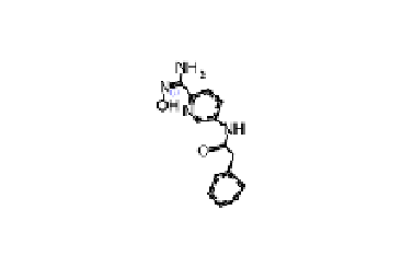 N/C(=N/O)c1ccc(NC(=O)Cc2ccccc2)cn1